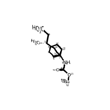 C[C@H](CC(=O)O)C12CCC(NC(=O)OC(C)(C)C)(CC1)CC2